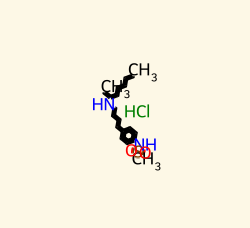 CCCCCCC(CC)NCCCCc1ccc(NS(C)(=O)=O)cc1.Cl